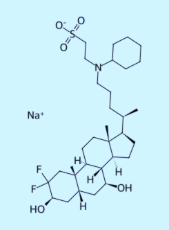 C[C@H](CCCN(CCS(=O)(=O)[O-])C1CCCCC1)[C@H]1CC[C@H]2[C@@H]3[C@@H](O)C[C@@H]4C[C@@H](O)C(F)(F)C[C@]4(C)[C@H]3CC[C@]12C.[Na+]